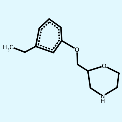 CCc1cccc(OCC2CNCCO2)c1